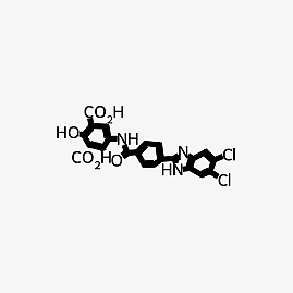 O=C(Nc1cc(C(=O)O)c(O)cc1C(=O)O)c1ccc(-c2nc3cc(Cl)c(Cl)cc3[nH]2)cc1